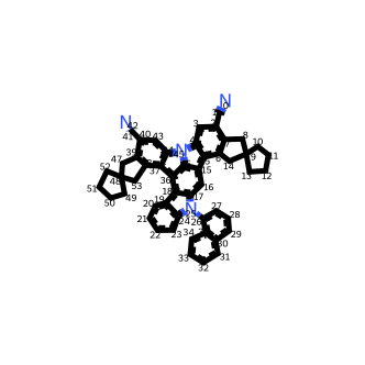 N#Cc1cc2c(c3c1CC1(CCCC1)C3)c1cc3c(c4ccccc4n3-c3cccc4ccccc34)c3c4c5c(c(C#N)cc4n2c13)CC1(CCCC1)C5